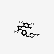 [CH2]CCN1CCN(Cc2ccc(-n3c(O)nnc3-c3cc(C(C)C)c(O)cc3O)cc2)CC1